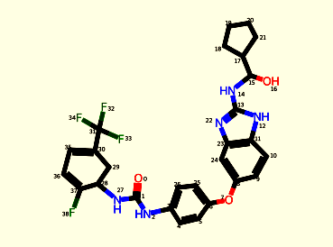 O=C(Nc1ccc(Oc2ccc3[nH]c(NC(O)C4CCCC4)nc3c2)cc1)NC1CC(C(F)(F)F)=CC=C1F